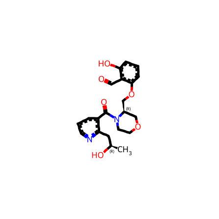 C[C@@H](O)Cc1ncccc1C(=O)N1CCOC[C@@H]1COc1cccc(O)c1C=O